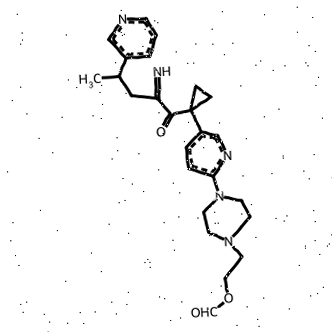 CC(CC(=N)C(=O)C1(c2ccc(N3CCN(CCOC=O)CC3)nc2)CC1)c1cccnc1